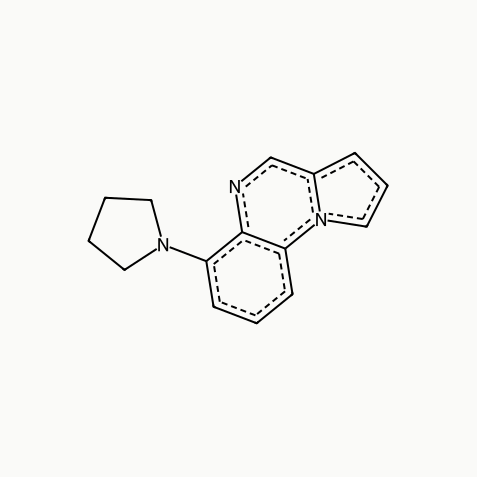 c1cc(N2CCCC2)c2ncc3cccn3c2c1